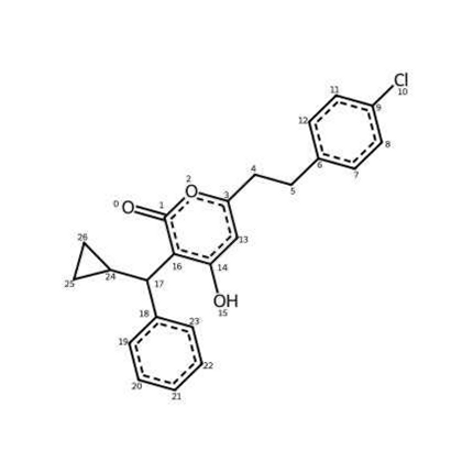 O=c1oc(CCc2ccc(Cl)cc2)cc(O)c1C(c1ccccc1)C1CC1